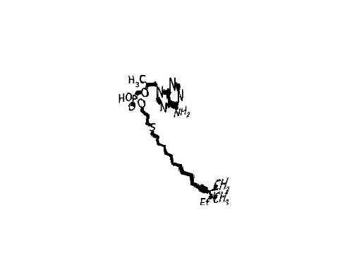 CC[Si](C)(C)C#CCCCCCCCCCCCSCCCOP(=O)(O)CO[C@H](C)Cn1cnc2c(N)ncnc21